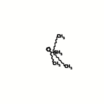 CCCCCCCCCCC([SiH3])(CCCCCCCCCC)C(CCCCCC)c1ccccc1